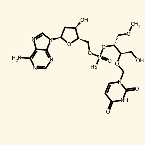 COC[C@@H](OP(=O)(S)OC[C@H]1O[C@@H](n2cnc3c(N)ncnc32)C[C@H]1O)[C@@H](CO)OCn1ccc(=O)[nH]c1=O